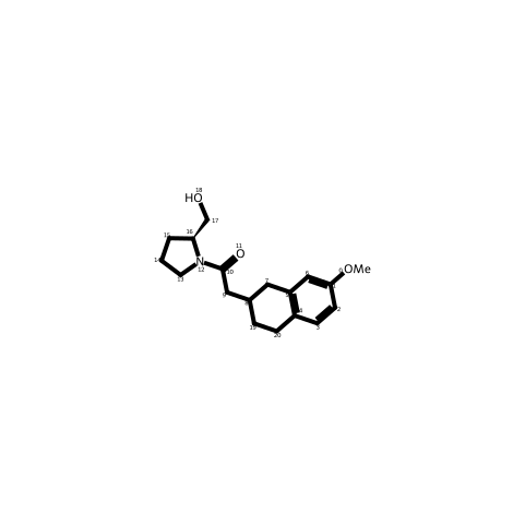 COc1ccc2c(c1)CC(CC(=O)N1CCC[C@H]1CO)CC2